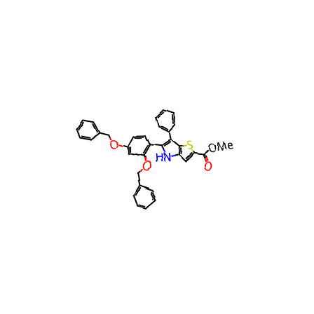 COC(=O)c1cc2[nH]c(-c3ccc(OCc4ccccc4)cc3OCc3ccccc3)c(-c3ccccc3)c2s1